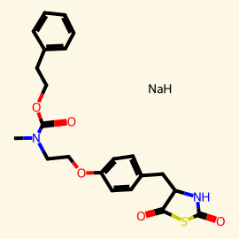 CN(CCOc1ccc(CC2NC(=O)SC2=O)cc1)C(=O)OCCc1ccccc1.[NaH]